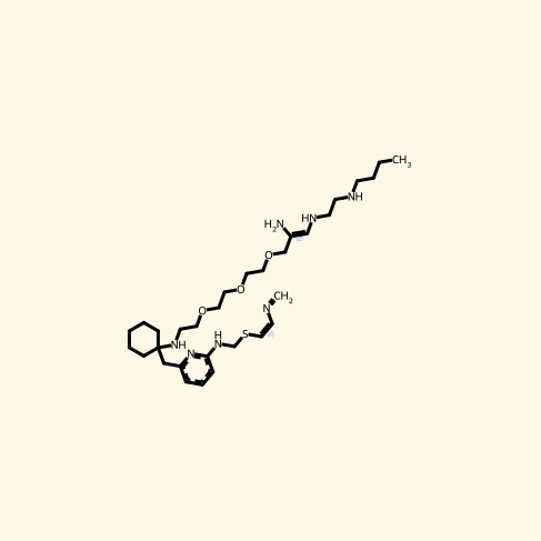 C=N/C=C\SCNc1cccc(CC2(NCCOCCOCCOC/C(N)=C/NCCNCCCC)CCCCC2)n1